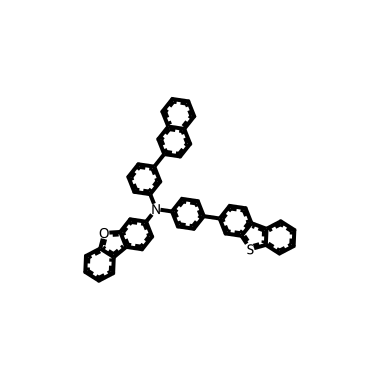 c1cc(-c2ccc3ccccc3c2)cc(N(c2ccc(-c3ccc4c(c3)sc3ccccc34)cc2)c2ccc3c(c2)oc2ccccc23)c1